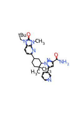 Cn1c(=O)n(CC(C)(C)C)c2ccc(C3CCC(C)(C)C(n4nc(C(N)=O)cc4-c4cccnc4)C3)nc21